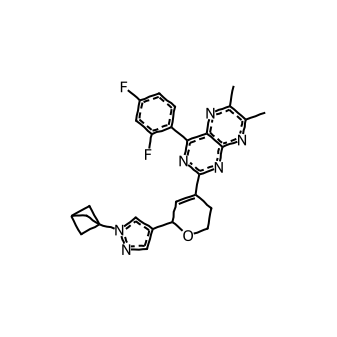 Cc1nc2nc(C3=CC(c4cnn(C56CC(C5)C6)c4)OCC3)nc(-c3ccc(F)cc3F)c2nc1C